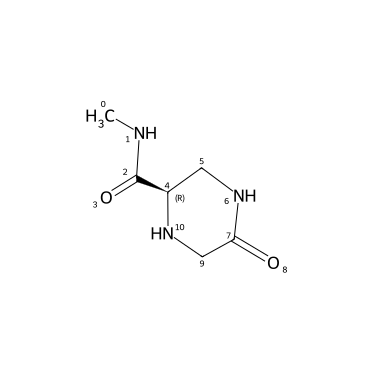 CNC(=O)[C@H]1CNC(=O)CN1